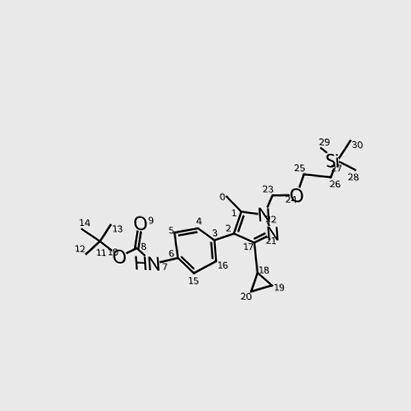 Cc1c(-c2ccc(NC(=O)OC(C)(C)C)cc2)c(C2CC2)nn1COCC[Si](C)(C)C